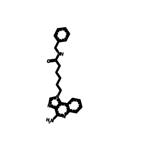 Nc1nc2ccccc2c2c1ncn2CCCCCC(=O)NCc1ccccc1